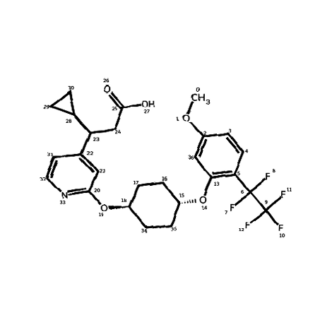 COc1ccc(C(F)(F)C(F)(F)F)c(O[C@H]2CC[C@H](Oc3cc(C(CC(=O)O)C4CC4)ccn3)CC2)c1